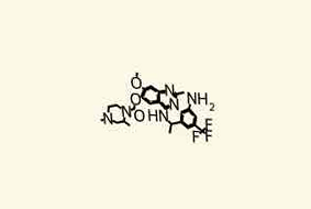 COc1cc2nc(C)nc(NC(C)c3cc(N)cc(C(F)(F)F)c3)c2cc1OC(=O)N1CCN(C)CC1C